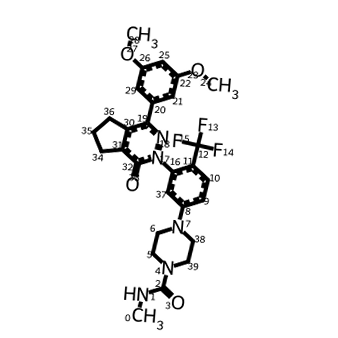 CNC(=O)N1CCN(c2ccc(C(F)(F)F)c(-n3nc(-c4cc(OC)cc(OC)c4)c4c(c3=O)CCC4)c2)CC1